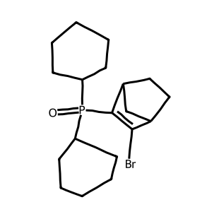 O=P(C1=C(Br)C2CCC1C2)(C1CCCCC1)C1CCCCC1